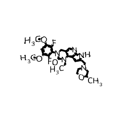 CCN1C(=O)N(c2c(F)c(OC)cc(OC)c2F)Cc2cnc3[nH]c(CN4CCOC(C)C4)cc3c21